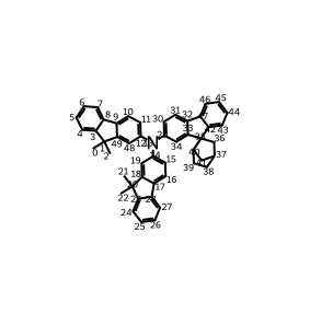 CC1(C)c2ccccc2-c2ccc(N(c3ccc4c(c3)C(C)(C)c3ccccc3-4)c3ccc4c(c3)C3(CC5CCC3C5)c3ccccc3-4)cc21